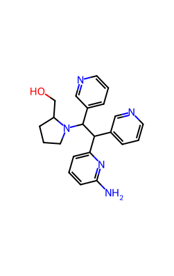 Nc1cccc(C(c2cccnc2)C(c2cccnc2)N2CCCC2CO)n1